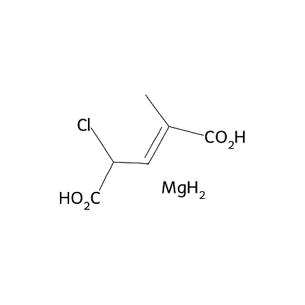 CC(=CC(Cl)C(=O)O)C(=O)O.[MgH2]